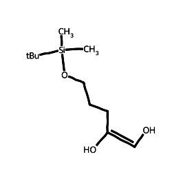 CC(C)(C)[Si](C)(C)OCCC/C(O)=C\O